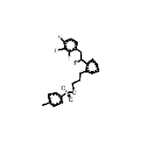 Cc1ccc(S(=O)(=O)OCCCc2ccccc2C(F)Cc2ccc(F)c(F)c2F)cc1